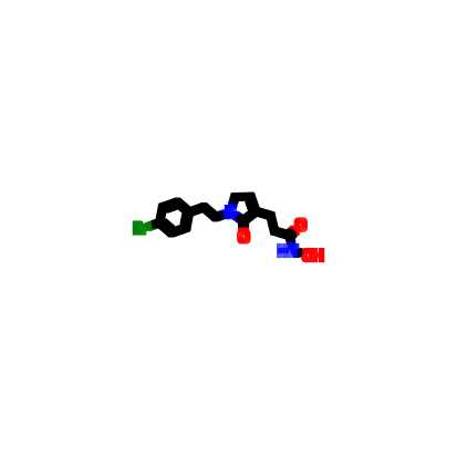 O=C(CCC1=CCN(CCc2ccc(Br)cc2)C1=O)NO